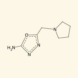 Nc1nnc(CN2CCCC2)o1